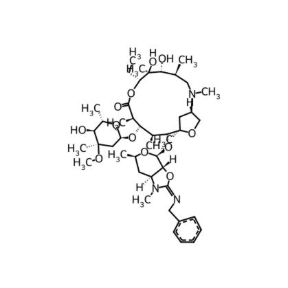 CC[C@H]1OC(=O)[C@H](C)[C@@H](O[C@H]2C[C@@](C)(OC)[C@@H](O)[C@H](C)O2)[C@H](C)[C@@H](O[C@@H]2O[C@H](C)C[C@H]3[C@H]2OC(=NCc2ccccc2)N3C)[C@@]2(C)C[C@@H](CO2)N(C)C[C@H](C)[C@@H](O)[C@]1(C)O